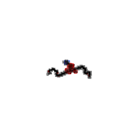 CC/C=C\C/C=C\C/C=C\C/C=C\CCCCCCC(=O)O[C@H](COC(=O)CCCC/C=C\C/C=C\C/C=C\C/C=C\CC)COP(=O)([O-])OCC[N+](C)(C)C